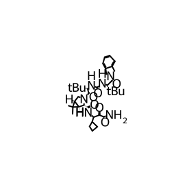 CC(C)(C)[C@H](NC(=O)N[C@H](C(=O)N1C[C@H]2[C@@H]([C@H]1C(=O)NC(C(=O)C(N)=O)C1CCC1)C2(C)C)C(C)(C)C)C(=O)N1Cc2ccccc2C1